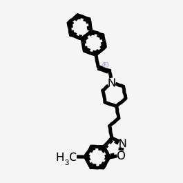 Cc1ccc2onc(CCC3CCN(/C=C/c4ccc5ccccc5c4)CC3)c2c1